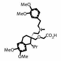 COc1ccc(CCN(C)CC[C@@]2(COCC(=O)O)CCc3cc(OC)c(OC)cc3[C@@H]2C(C)C)cc1OC